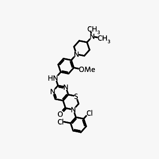 COc1cc(Nc2ncc3c(n2)SCN(c2c(Cl)cccc2Cl)C3=O)ccc1N1CCC(N(C)C)CC1